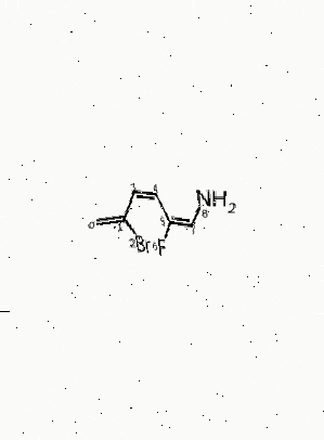 C=C(Br)/C=C\C(F)=C/N